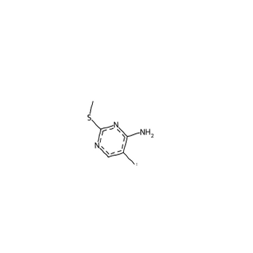 [CH]c1cnc(SC)nc1N